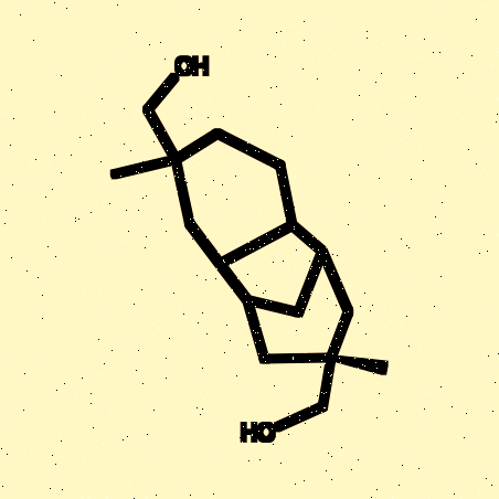 CC1(CO)CCC2C3CC(C[C@@](C)(CO)C3)C2C1